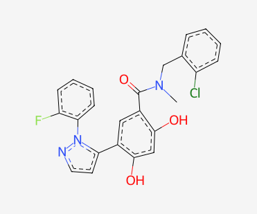 CN(Cc1ccccc1Cl)C(=O)c1cc(-c2ccnn2-c2ccccc2F)c(O)cc1O